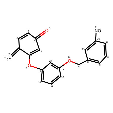 C=C1C=CC(=O)C=C1Oc1cccc(OCc2cccc(N=O)c2)c1